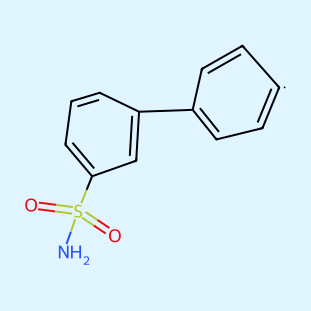 NS(=O)(=O)c1cccc(-c2cc[c]cc2)c1